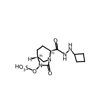 O=C(NNC1CCC1)[C@@H]1CC[C@@H]2CN1C(=O)N2OS(=O)(=O)O